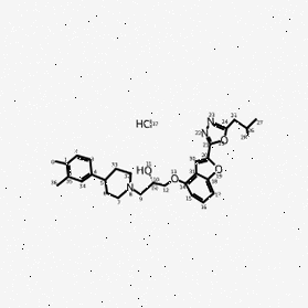 Cc1ccc(C2CCN(C[C@H](O)COc3cccc4oc(-c5nnc(CC(C)C)o5)cc34)CC2)cc1C.Cl